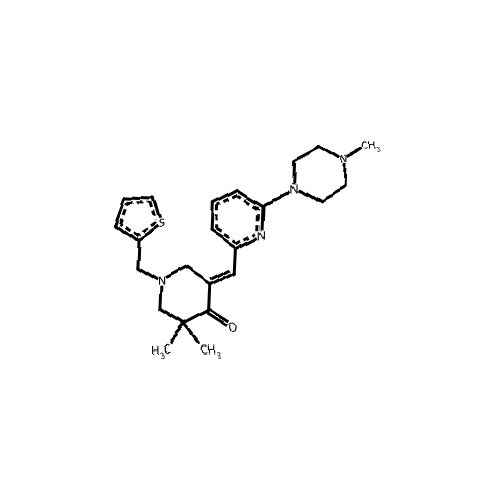 CN1CCN(c2cccc(C=C3CN(Cc4cccs4)CC(C)(C)C3=O)n2)CC1